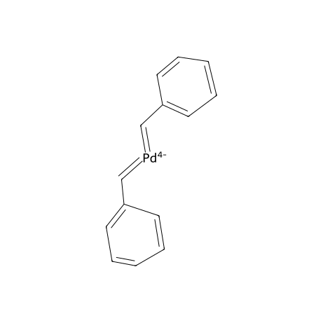 [CH](=[Pd-4]=[CH]c1ccccc1)c1ccccc1